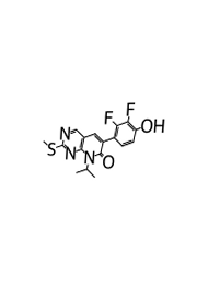 CSc1ncc2cc(-c3ccc(O)c(F)c3F)c(=O)n(C(C)C)c2n1